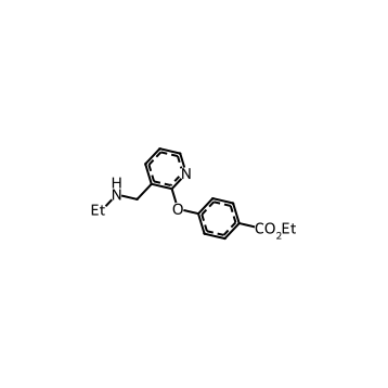 CCNCc1cccnc1Oc1ccc(C(=O)OCC)cc1